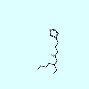 CCCCC(CC)CNCCCn1ccnc1